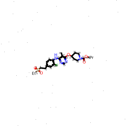 CCS(=O)(=O)CCc1ccc(Nc2ncnc(OC3CCN(C(=O)OC(C)C)CC3)c2C)c(F)c1